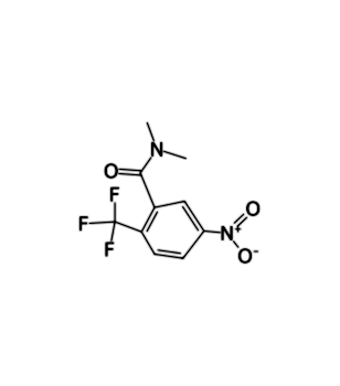 CN(C)C(=O)c1cc([N+](=O)[O-])ccc1C(F)(F)F